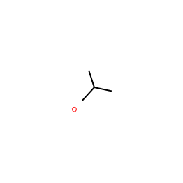 CC(C)C.[O]